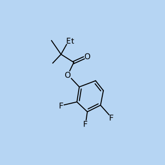 CCC(C)(C)C(=O)Oc1ccc(F)c(F)c1F